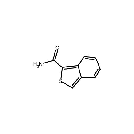 NC(=O)c1scc2ccccc12